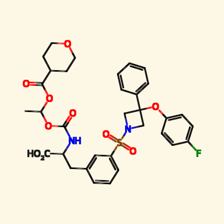 CC(OC(=O)NC(Cc1cccc(S(=O)(=O)N2CC(Oc3ccc(F)cc3)(c3ccccc3)C2)c1)C(=O)O)OC(=O)C1CCOCC1